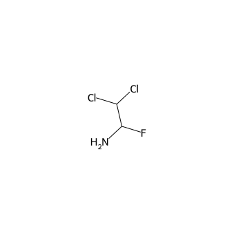 NC(F)C(Cl)Cl